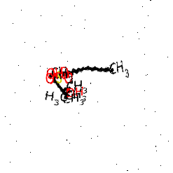 CCCCCCCCCCCCCCCCCC(=O)OCCSC(C)C(CCCCCc1cc(C)c(O)c(C(C)(C)C)c1)C(=O)O